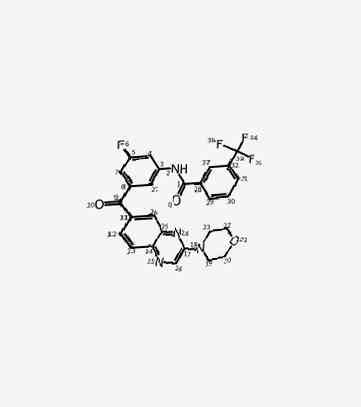 O=C(Nc1cc(F)cc(C(=O)c2ccc3ncc(N4CCOCC4)nc3c2)c1)c1cccc(C(F)(F)F)c1